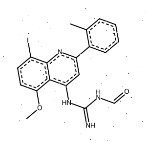 COc1ccc(I)c2nc(-c3ccccc3C)cc(NC(=N)NC=O)c12